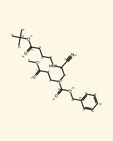 COC(=O)CCN(CC(C#N)NCCCC(=O)OC(C)(C)C)C(=O)OCc1ccccc1